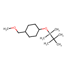 COCC1CCC(O[Si](C)(C)C(C)(C)C)CC1